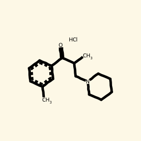 Cc1cccc(C(=O)C(C)CN2CCCCC2)c1.Cl